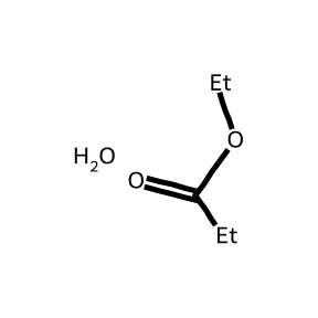 CCOC(=O)CC.O